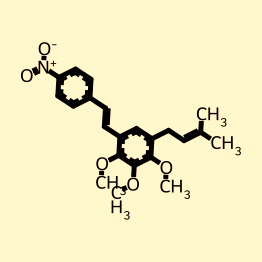 COc1c(C=Cc2ccc([N+](=O)[O-])cc2)cc(CC=C(C)C)c(OC)c1OC